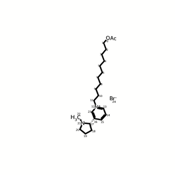 CC(=O)OCCCCCCCCCCC[n+]1cccc([C@@H]2CCCN2C)c1.[Br-]